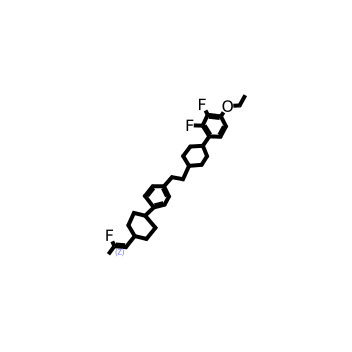 CCOc1ccc(C2CCC(CCc3ccc(C4CCC(/C=C(/C)F)CC4)cc3)CC2)c(F)c1F